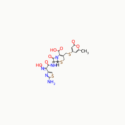 Cc1cc(SCC2=C(C(=O)O)N3C(=O)[C@@H](NC(=O)/C(=N\O)c4csc(N)n4)[C@H]3SC2)cc(=O)o1